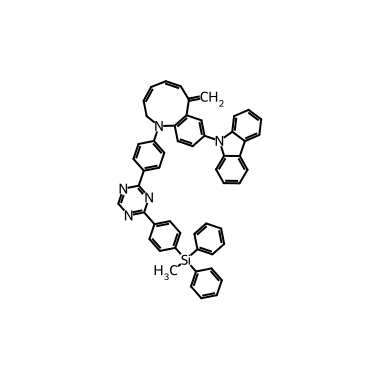 C=C1/C=C\C=C/CN(c2ccc(-c3ncnc(-c4ccc([Si](C)(c5ccccc5)c5ccccc5)cc4)n3)cc2)c2ccc(-n3c4ccccc4c4ccccc43)cc21